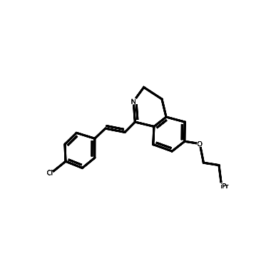 CC(C)CCOc1ccc2c(c1)CCN=C2/C=C/c1ccc(Cl)cc1